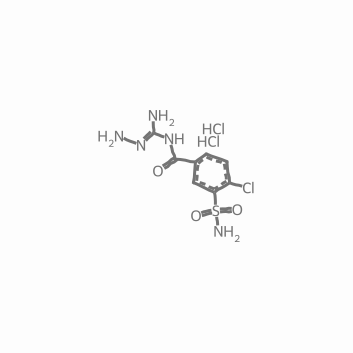 Cl.Cl.NN=C(N)NC(=O)c1ccc(Cl)c(S(N)(=O)=O)c1